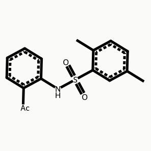 CC(=O)c1ccccc1NS(=O)(=O)c1cc(C)ccc1C